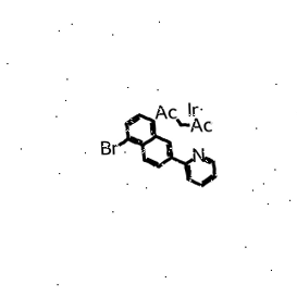 Brc1cccc2cc(-c3ccccn3)ccc12.CC(=O)CC(C)=O.[Ir]